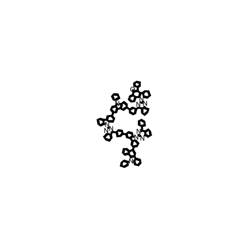 c1ccc(-c2nc(-n3c4ccc(-c5ccc(-c6nc(-n7c8ccccc8c8cc(-c9ccc%10c(c9)c9cc(-c%11cccc(-c%12nc(-n%13c%14ccccc%14c%14c%15c%16ccccc%16oc%15c%15ccccc%15c%14%13)nc%13ccccc%12%13)c%11)ccc9n%10-c9ccccc9)ccc87)nc7ccccc67)cc5)cc4c4cc(-c5cc6c7ccccc7n(-c7ccccc7)c6c6ccccc56)ccc43)nc3ccccc23)cc1